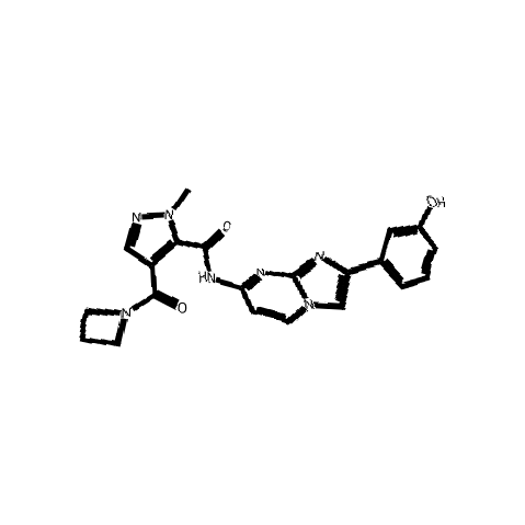 Cn1ncc(C(=O)N2CCC2)c1C(=O)Nc1ccn2cc(-c3cccc(O)c3)nc2n1